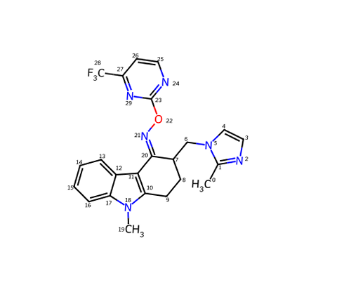 Cc1nccn1CC1CCc2c(c3ccccc3n2C)/C1=N/Oc1nccc(C(F)(F)F)n1